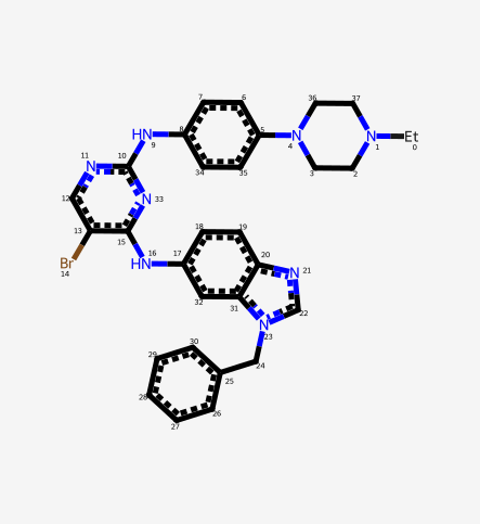 CCN1CCN(c2ccc(Nc3ncc(Br)c(Nc4ccc5ncn(Cc6ccccc6)c5c4)n3)cc2)CC1